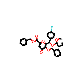 O=C(OCc1ccccc1)c1cc(=O)c(OCc2ccccc2)c(C(OC2CCCCO2)c2ccc(F)cc2)o1